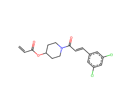 C=CC(=O)OC1CCN(C(=O)/C=C/c2cc(Cl)cc(Cl)c2)CC1